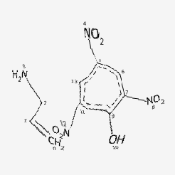 C=CCN.O=[N+]([O-])c1cc([N+](=O)[O-])c(O)c([N+](=O)[O-])c1